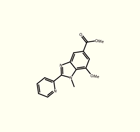 COC(=O)c1cc(OC)c2c(c1)nc(-c1ccccn1)n2C